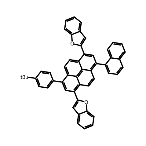 CC(C)(C)c1ccc(-c2cc(-c3cc4ccccc4o3)c3ccc4c(-c5cccc6ccccc56)cc(-c5cc6ccccc6o5)c5ccc2c3c54)cc1